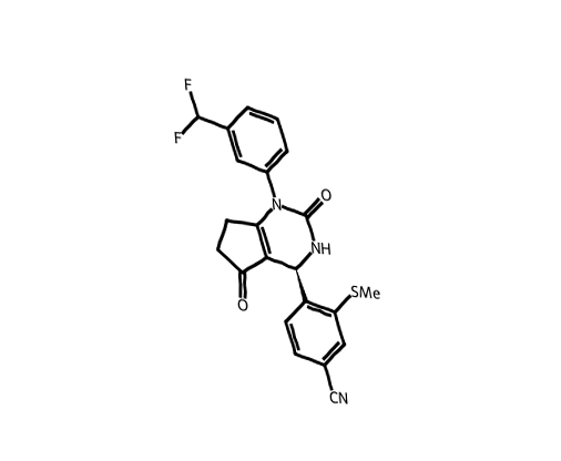 CSc1cc(C#N)ccc1[C@@H]1NC(=O)N(c2cccc(C(F)F)c2)C2=C1C(=O)CC2